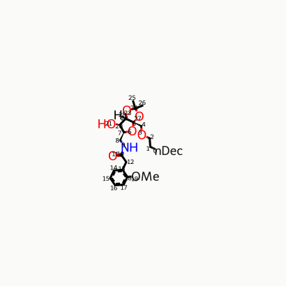 CCCCCCCCCCCCOC[C@@]12O[C@@H](CNC(=O)Cc3ccccc3OC)[C@@H](O)[C@@H]1OC(C)(C)O2